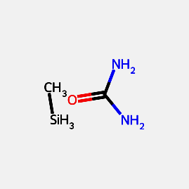 C[SiH3].NC(N)=O